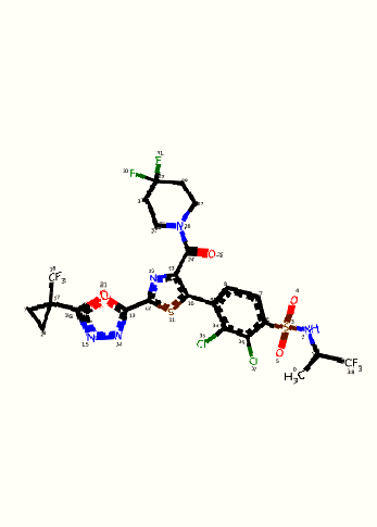 CC(NS(=O)(=O)c1ccc(-c2sc(-c3nnc(C4(C(F)(F)F)CC4)o3)nc2C(=O)N2CCC(F)(F)CC2)c(Cl)c1Cl)C(F)(F)F